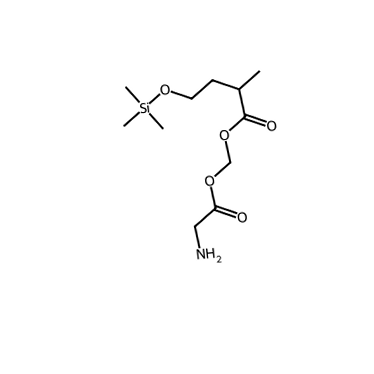 CC(CCO[Si](C)(C)C)C(=O)OCOC(=O)CN